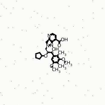 COc1cc([C@@H](O)[C@H](Cn2cc3nccc(C(=O)O)c3n2)OC2CCCC2)c(C)c(OC)c1C